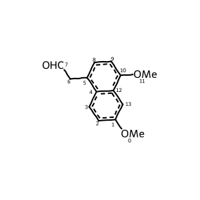 COc1ccc2c(CC=O)ccc(OC)c2c1